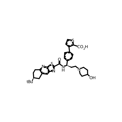 CC(C)(C)[C@H]1CCc2nc3sc(C(=O)N[C@H](CCN4CCC(O)CC4)c4ccc(-c5ccsc5C(=O)O)cc4)nc3cc2C1